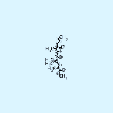 C/C=C/CC1=C(C)[C@@H](OC(=O)[C@@H]2[C@@H](/C=C(\C)C(=O)OC)C2(C)C)CC1=O